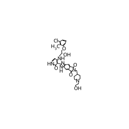 Cc1c(Cl)cccc1OC[C@H](O)CNc1cc[nH]c(=O)c1-c1nc2cc3c(cc2[nH]1)C(=O)N(CC1CCN(CCO)CC1)C3=O